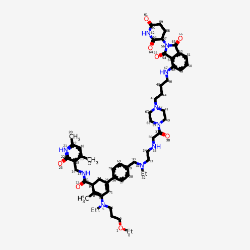 CCOCCCN(CC)C1=C(C)C(C(=O)NCc2c(C)cc(C)[nH]c2=O)CC(c2ccc(CN(CC)CCNCC(=O)N3CCN(CCCCNc4cccc5c4C(=O)N(C4CCC(=O)NC4=O)C5=O)CC3)cc2)=C1